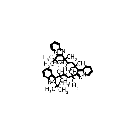 CC(C)(C)c1c(C(C)(C)CCC(C)(C)c2c(C(C)(C)CCC(C)(C)c3c4ccccc4nn3C(C)(C)C)nn3ccccc23)nc2ccccn12